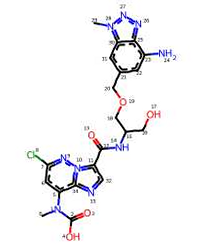 CN(C(=O)O)c1cc(Cl)nn2c(C(=O)NC(CO)COCc3cc(N)c4nnn(C)c4c3)cnc12